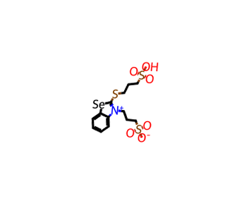 O=S(=O)([O-])CCC[n+]1c(SCCCS(=O)(=O)O)[se]c2ccccc21